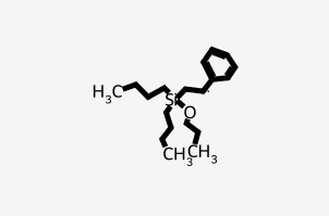 CCCC[Si](C[CH]c1ccccc1)(CCCC)OCCC